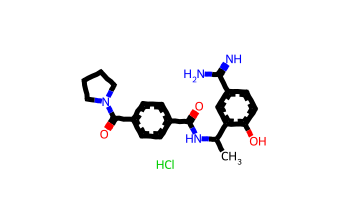 CC(NC(=O)c1ccc(C(=O)N2CCCC2)cc1)c1cc(C(=N)N)ccc1O.Cl